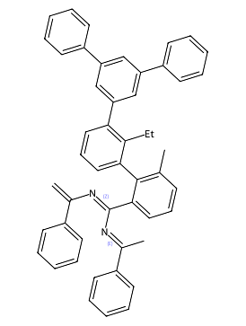 C=C(/N=C(\N=C(/C)c1ccccc1)c1cccc(C)c1-c1cccc(-c2cc(-c3ccccc3)cc(-c3ccccc3)c2)c1CC)c1ccccc1